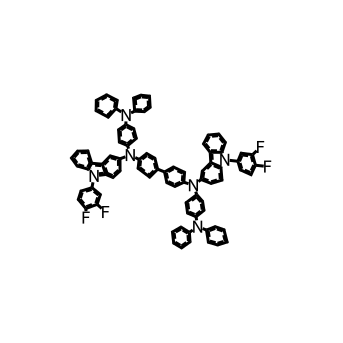 Fc1ccc(-n2c3ccccc3c3cc(N(c4ccc(-c5ccc(N(c6ccc(N(c7ccccc7)c7ccccc7)cc6)c6ccc7c(c6)c6ccccc6n7-c6ccc(F)c(F)c6)cc5)cc4)c4ccc(N(c5ccccc5)c5ccccc5)cc4)ccc32)cc1F